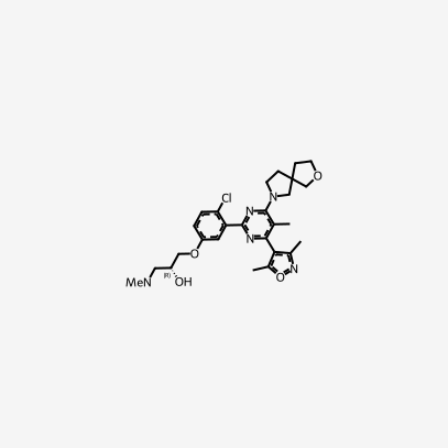 CNC[C@@H](O)COc1ccc(Cl)c(-c2nc(-c3c(C)noc3C)c(C)c(N3CCC4(CCOC4)C3)n2)c1